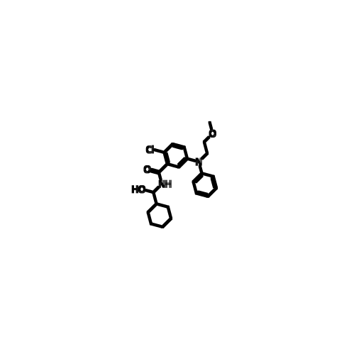 COCCN(c1ccccc1)c1ccc(Cl)c(C(=O)NC(O)C2CCCCC2)c1